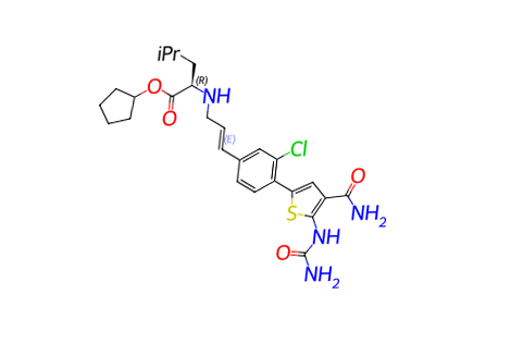 CC(C)C[C@@H](NC/C=C/c1ccc(-c2cc(C(N)=O)c(NC(N)=O)s2)c(Cl)c1)C(=O)OC1CCCC1